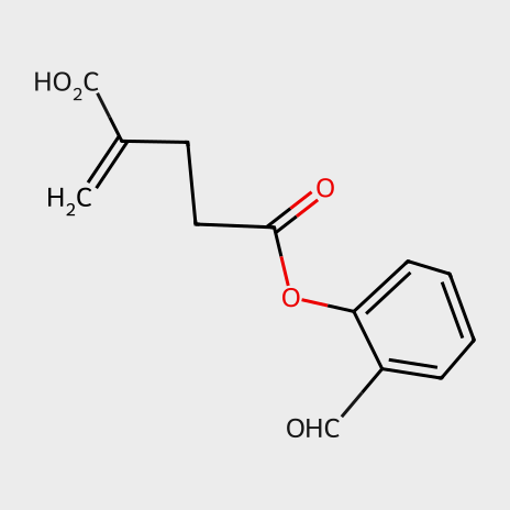 C=C(CCC(=O)Oc1ccccc1C=O)C(=O)O